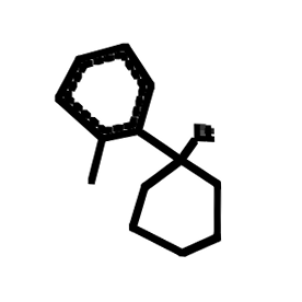 CCC1(c2ccccc2C)CCCCC1